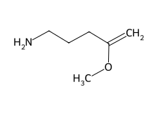 C=C(CCCN)OC